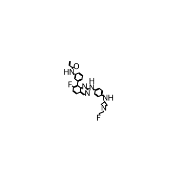 C=CC(=O)Nc1cccc(-c2c(F)ccc3cnc(Nc4ccc(NC5CN(CCF)C5)cc4)nc23)c1